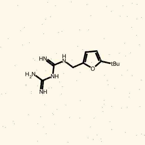 CC(C)(C)c1ccc(CNC(=N)NC(=N)N)o1